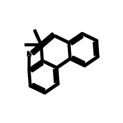 CC1(C)C2=Nc3cccc(c31)-c1ccccc12